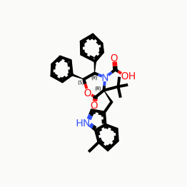 Cc1cccc2c(C[C@@]3(C(C)(C)C)C(=O)O[C@@H](c4ccccc4)[C@@H](c4ccccc4)N3C(=O)O)c[nH]c12